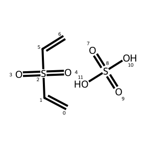 C=CS(=O)(=O)C=C.O=S(=O)(O)O